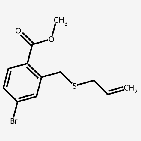 C=CCSCc1cc(Br)ccc1C(=O)OC